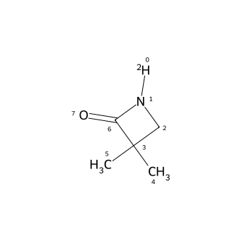 [2H]N1CC(C)(C)C1=O